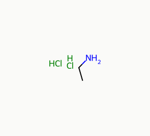 CCN.Cl.Cl